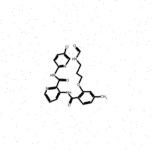 Cc1ccc(C(=O)Nc2cccnc2C(=O)Nc2ccc(Cl)cn2)c(OCCCNC=O)c1